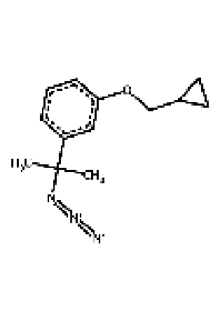 CC(C)(N=[N+]=[N-])c1cccc(OCC2CC2)c1